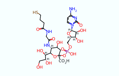 Nc1ccn([C@@H]2O[C@H](COP(=O)(O)O[C@@]3(C(=O)O)CC(O)[C@@H](NC(=O)CNC(=O)CCCS)C([C@H](O)[C@H](O)CO)O3)[C@H](O)[C@@H]2O)c(=O)n1